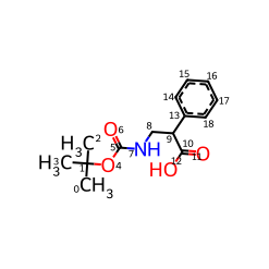 CC(C)(C)OC(=O)NCC(C(=O)O)c1ccccc1